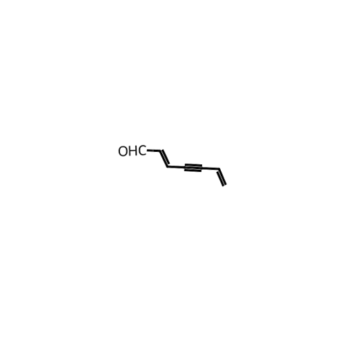 C=CC#CC=CC=O